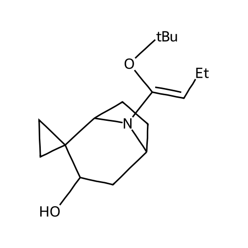 CC/C=C(\OC(C)(C)C)N1C2CCC1C1(CC1)C(O)C2